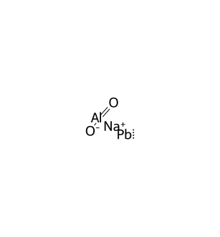 [Na+].[O]=[Al][O-].[Pb]